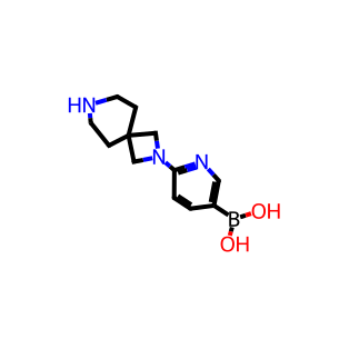 OB(O)c1ccc(N2CC3(CCNCC3)C2)nc1